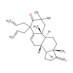 [C-]#[N+]C1([N+]#[C-])C[C@@]2(C)C(=CC[C@@H]3[C@@H]2CC[C@]2(C)C(=C)CC[C@@H]32)C(CC=C)(CC=C)C1=O